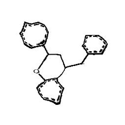 [CH](c1ccccc1)C1CC(c2ccccc2)Oc2ccccc21